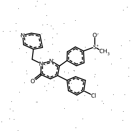 C[S+]([O-])c1ccc(-c2nn(Cc3cccnc3)c(=O)cc2-c2ccc(Cl)cc2)cc1